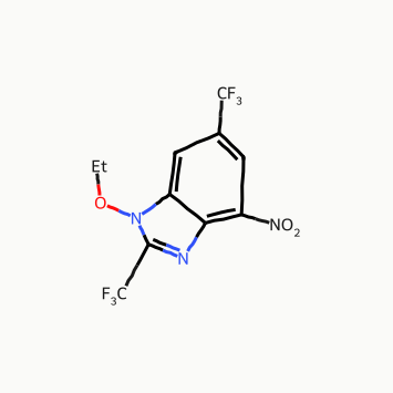 CCOn1c(C(F)(F)F)nc2c([N+](=O)[O-])cc(C(F)(F)F)cc21